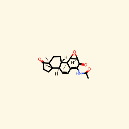 CC(=O)NC1=C2C=C[C@H]3[C@@H]4CCC(=O)[C@@]4(C)CC[C@@H]3[C@@]2(C)C2O[C@H]2C1=O